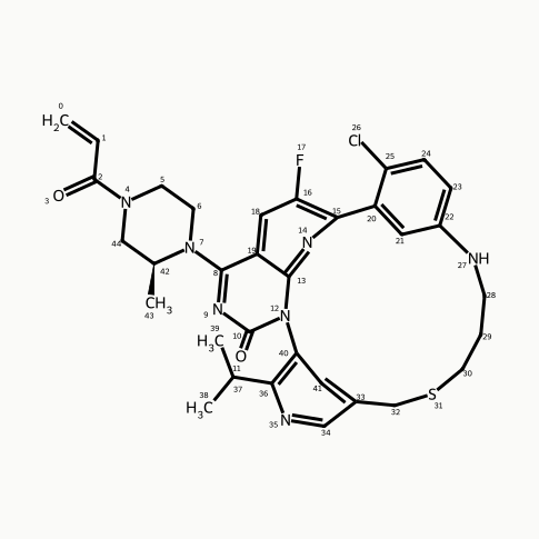 C=CC(=O)N1CCN(c2nc(=O)n3c4nc(c(F)cc24)-c2cc(ccc2Cl)NCCCSCc2cnc(C(C)C)c-3c2)[C@@H](C)C1